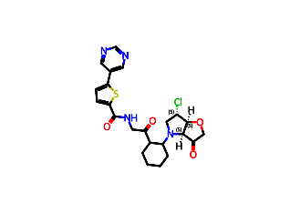 O=C(NCC(=O)C1CCCCC1N1C[C@H](Cl)[C@H]2OCC(=O)[C@H]21)c1ccc(-c2cncnc2)s1